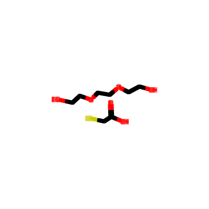 O=C(O)CS.OCCOCCOCCO